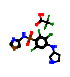 O=C(O)C(F)(F)F.O=S(=O)(Nc1cscn1)c1c(F)cc(N[C@H]2CCNC2)c(Br)c1F